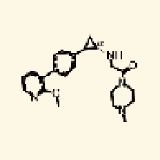 COc1ncccc1-c1ccc(C2C[C@@H]2NCC(=O)N2CCN(C)CC2)cc1